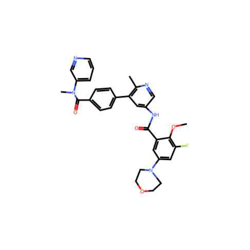 COc1c(F)cc(N2CCOCC2)cc1C(=O)Nc1cnc(C)c(-c2ccc(C(=O)N(C)c3cccnc3)cc2)c1